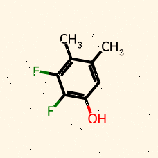 Cc1cc(O)c(F)c(F)c1C